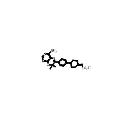 CCOC(=O)C=C1CCC(c2ccc(C3=Nc4c(N)ncnc4OC3(C)C)cc2)CC1